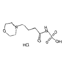 Cl.O=C(CCCN1CCOCC1)NS(=O)(=O)O